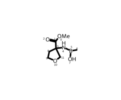 COC(=O)C1(NB(C)O)CCOC1